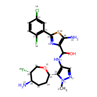 Cn1ncc(NC(O)c2nc(-c3cc(Cl)ccc3F)sc2N)c1[C@@H]1CC[C@@H](N)[C@H](F)CO1